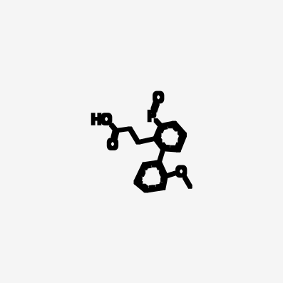 COc1ccccc1-c1cccc(P=O)c1CCC(=O)O